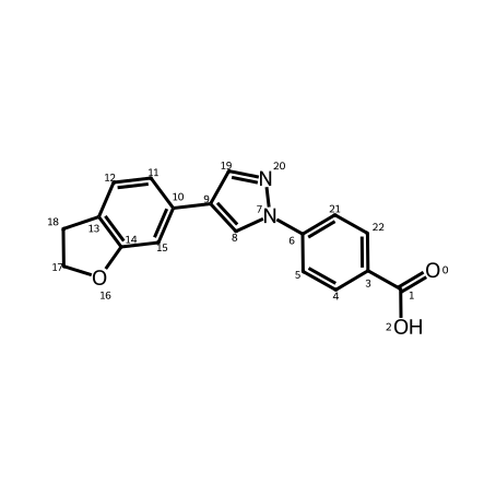 O=C(O)c1ccc(-n2cc(-c3ccc4c(c3)OCC4)cn2)cc1